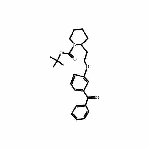 CC(C)(C)OC(=O)N1CCCCC1CCOc1cccc(C(=O)c2ccccc2)c1